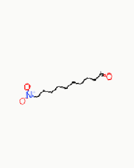 O=[C]CCCCCCCCC[N+](=O)[O-]